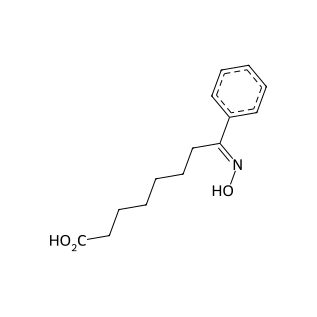 O=C(O)CCCCCCC(=NO)c1ccccc1